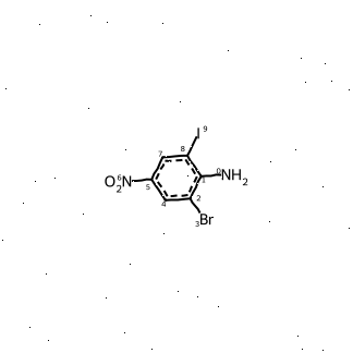 Nc1c(Br)cc([N+](=O)[O-])cc1I